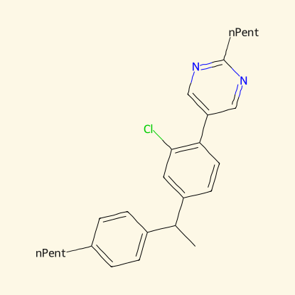 CCCCCc1ccc(C(C)c2ccc(-c3cnc(CCCCC)nc3)c(Cl)c2)cc1